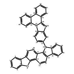 c1ccc2c(c1)oc1c2cnc2c1ncc1c3ccccc3n(-c3ccc4c(c3)nc3c5ccccc5c5ccccc5n43)c12